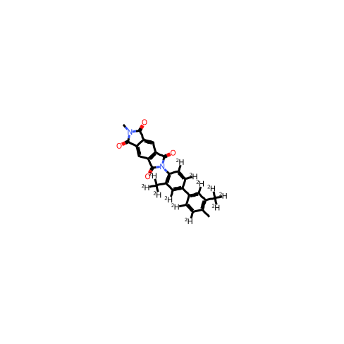 [2H]c1c([2H])c(-c2c([2H])c([2H])c(-n3c(=O)c4cc5c(=O)n(C)c(=O)c5cc4c3=O)c(C([2H])([2H])[2H])c2[2H])c([2H])c(C([2H])([2H])[2H])c1C